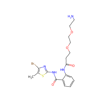 Cc1sc(NC(=O)c2ccccc2NC(=O)CCOCCOCCN)nc1Br